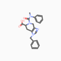 CN(C(=O)N1Cc2ncn(Cc3ccccc3)c2CC1C(=O)O)c1ccccc1